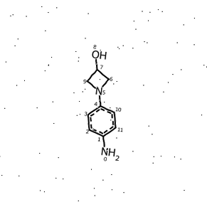 Nc1ccc(N2CC(O)C2)cc1